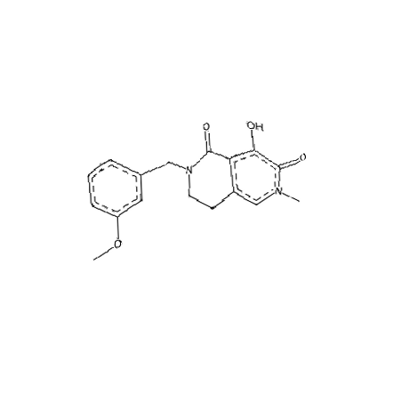 COc1cccc(CN2CCc3cn(C)c(=O)c(O)c3C2=O)c1